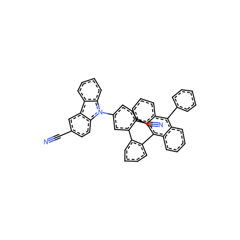 N#Cc1ccc2c(c1)c1ccccc1n2-c1ccc(C#N)c(-c2ccccc2-c2c3ccccc3c(-c3ccccc3)c3ccccc23)c1